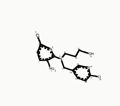 O=[N+]([O-])c1ccc(Cl)nc1N(CCCO)Cc1ccc(Cl)nc1